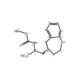 CCCCOC(=O)NC(C[C@@H]1CCOc2ccccc2C1)C(=O)O